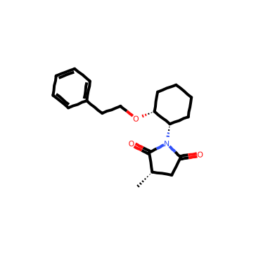 C[C@H]1CC(=O)N([C@H]2CCCC[C@H]2OCCc2ccccc2)C1=O